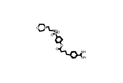 CCCC(=N)c1ccc(CCCC(=O)Oc2ccc(S(=O)(=O)NCCN3CCOCC3)cc2)cc1